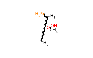 CC(=O)O.CCCCCCCCCCCCCC(C)CCP